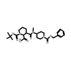 CN(C(=O)C1CCCN(C(=O)OC(C)(C)C)C1C(=O)O)C1CCN(C(=O)OCc2ccccc2)CC1